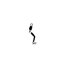 O=PCS